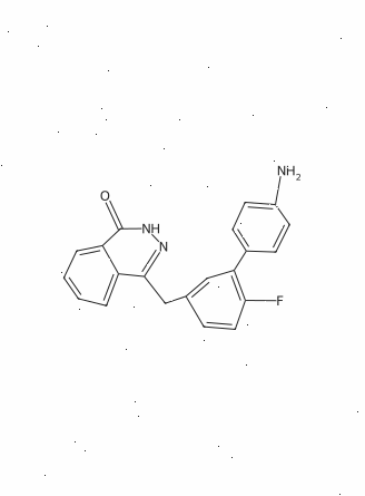 Nc1ccc(-c2cc(Cc3n[nH]c(=O)c4ccccc34)ccc2F)cc1